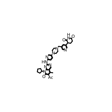 CC(=O)c1c(C)c2cnc(Nc3ccc(N4CCN(Cc5cncc(C6CCC(=O)NC6=O)c5)CC4)cn3)nc2n(C2CCCC2)c1=O